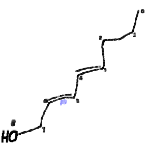 CCCC=C/C=C/CO